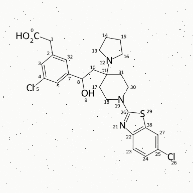 O=C(O)Cc1cc(Cl)cc(C(O)CC2(N3CCCC3)CCN(c3nc4ccc(Cl)cc4s3)CC2)c1